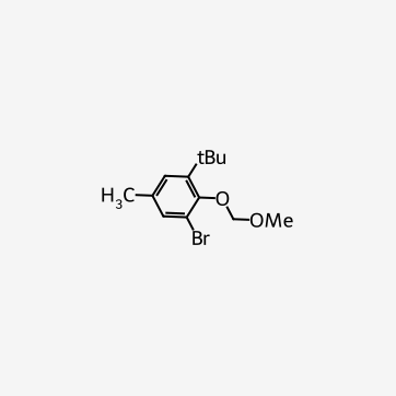 COCOc1c(Br)cc(C)cc1C(C)(C)C